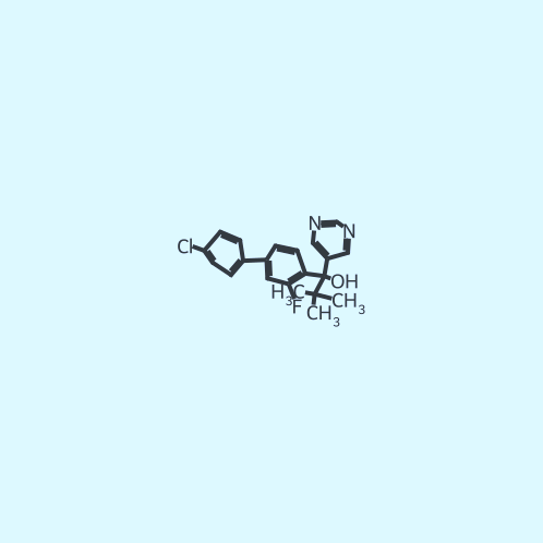 CC(C)(C)C(O)(c1cncnc1)c1ccc(-c2ccc(Cl)cc2)cc1F